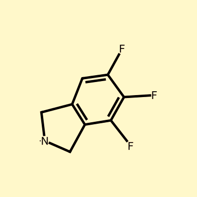 Fc1cc2c(c(F)c1F)C[N]C2